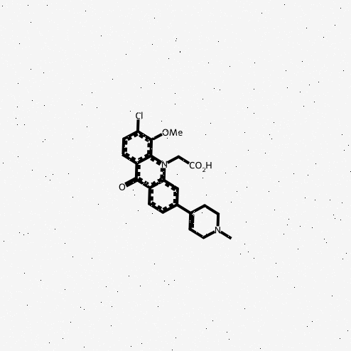 COc1c(Cl)ccc2c(=O)c3ccc(C4=CCN(C)CC4)cc3n(CC(=O)O)c12